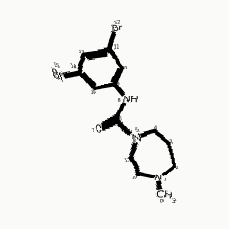 CN1CCCN(C(=O)Nc2cc(Br)cc(Br)c2)CC1